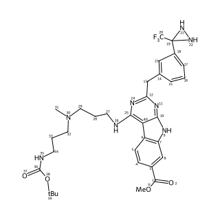 COC(=O)c1ccc2c(c1)[nH]c1nc(Cc3cccc(C4(C(F)(F)F)NN4)c3)nc(NCCCN(C)CCCNC(=O)OC(C)(C)C)c12